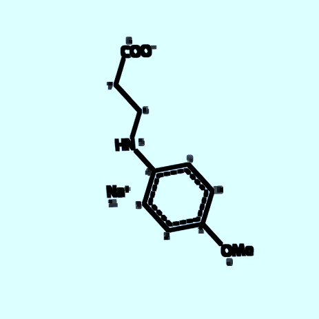 COc1ccc(NCCC(=O)[O-])cc1.[Na+]